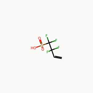 C=CC(F)(F)C(F)(F)S(=O)(=O)O